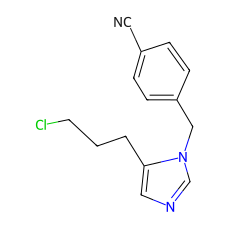 N#Cc1ccc(Cn2cncc2CCCCl)cc1